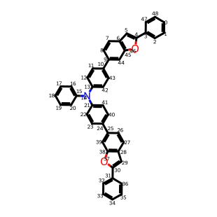 c1ccc(-c2cc3ccc(-c4ccc(N(c5ccccc5)c5ccc(-c6ccc7cc(-c8ccccc8)oc7c6)cc5)cc4)cc3o2)cc1